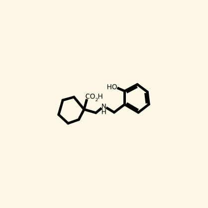 O=C(O)C1(CNCc2ccccc2O)CCCCC1